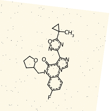 CC1(c2nc(-c3ncn4c3c(=O)n(CC3CCCO3)c3cc(F)ccc34)no2)CC1